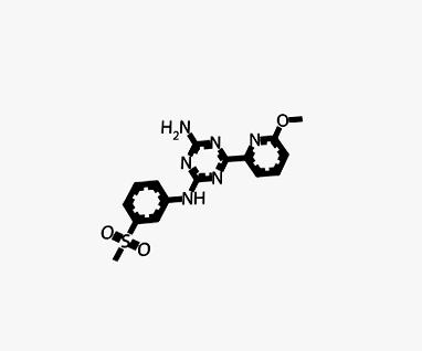 COc1cccc(-c2nc(N)nc(Nc3cccc(S(C)(=O)=O)c3)n2)n1